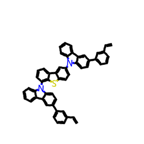 C=Cc1cccc(-c2ccc3c(c2)c2ccccc2n3-c2ccc3sc4c(-n5c6ccccc6c6cc(-c7cccc(C=C)c7)ccc65)cccc4c3c2)c1